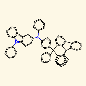 C1=CCC(C23c4ccccc4-c4cccc(c42)C(c2ccccc2)(c2ccc(N(c4ccccc4)c4ccc5c(c4)c4ccccc4n5-c4ccccc4)cc2)c2ccccc23)C=C1